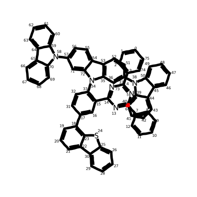 c1ccc(-c2nc(-c3ccccc3)nc(-c3cc(-c4cccc5c4sc4ccccc45)ccc3-n3c4cc(-n5c6ccccc6c6ccccc65)ccc4c4ccc(-n5c6ccccc6c6ccccc65)cc43)n2)cc1